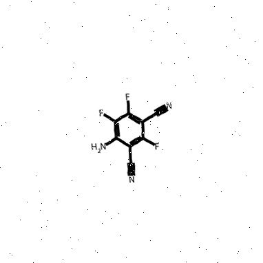 N#Cc1c(N)c(F)c(F)c(C#N)c1F